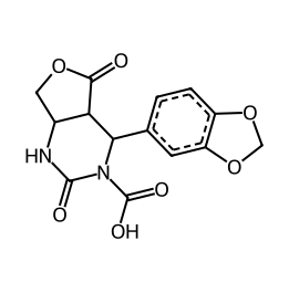 O=C1OCC2NC(=O)N(C(=O)O)C(c3ccc4c(c3)OCO4)C12